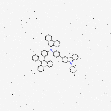 CC1C=CC(n2c3ccccc3c3cc(-c4ccc(N(c5cccc(-c6c(-c7ccccc7)c7ccccc7c7ccccc67)c5)c5cc6ccccc6c6ccccc56)cc4)ccc32)=CC1